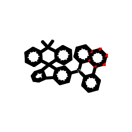 CC1(C)c2ccccc2C2(c3ccccc3-c3ccc(N(c4ccccc4-c4ccccc4)c4cccc5ccccc45)cc32)c2ccccc21